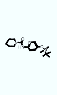 CC(C)(C)[Si](C)(C)Oc1ccc(NC(=O)N2CCCCC2)nc1